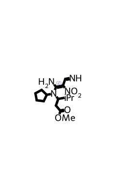 COC(=O)CC(C(C)C)N(/C(N)=C(/C=N)[N+](=O)[O-])C1CCCC1